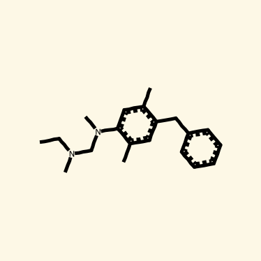 CCN(C)CN(C)c1cc(C)c(Cc2ccccc2)cc1C